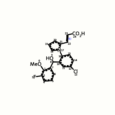 COc1c(F)cccc1C(O)c1cc(Cl)ccc1-n1cccc1/C=C/C(=O)O